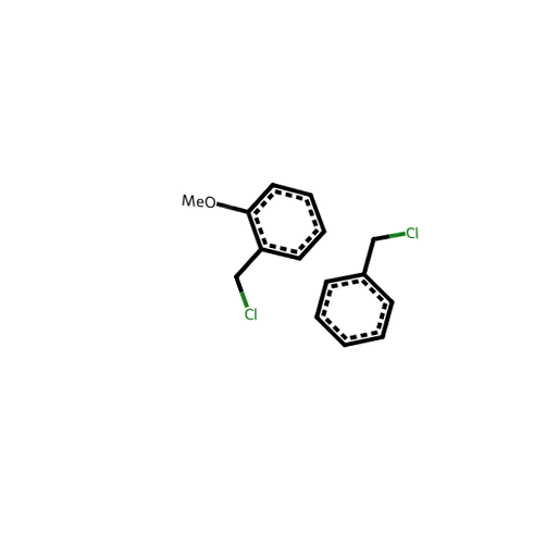 COc1ccccc1CCl.ClCc1ccccc1